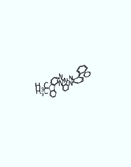 CC1(C)c2ccccc2-c2c1ccc1nc3n(c4cccc5c4n3c3nc4c6c(ccc4n53)oc3ccccc36)c21